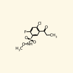 CCC(=O)c1cc(S(=O)(=O)NOC)c(F)cc1Cl